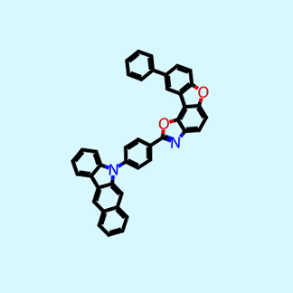 c1ccc(-c2ccc3oc4ccc5nc(-c6ccc(-n7c8ccccc8c8cc9ccccc9cc87)cc6)oc5c4c3c2)cc1